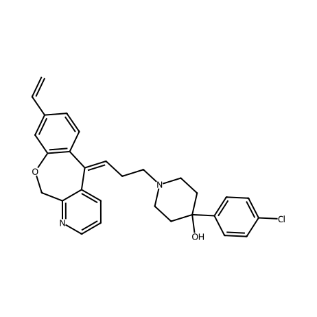 C=Cc1ccc2c(c1)OCc1ncccc1C2=CCCN1CCC(O)(c2ccc(Cl)cc2)CC1